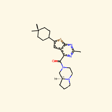 Cc1nc(C(=O)N2CCN3CCC[C@H]3C2)c2cc(C3CCC(C)(C)CC3)sc2n1